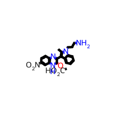 CC(=O)O.Cc1c(-c2nc3ccc([N+](=O)[O-])cc3[nH]c2=O)c2ccccc2n1CCCN